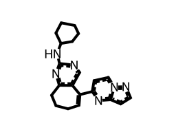 C1=C(c2ccn3nccc3n2)c2cnc(NC3CCCCC3)nc2CCC1